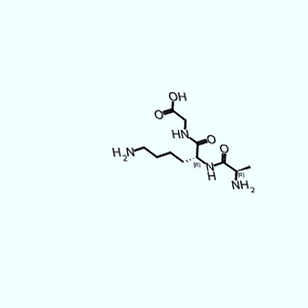 C[C@@H](N)C(=O)N[C@H](CCCCN)C(=O)NCC(=O)O